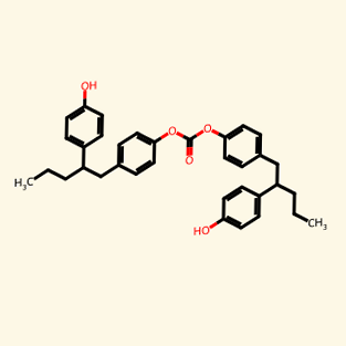 CCCC(Cc1ccc(OC(=O)Oc2ccc(CC(CCC)c3ccc(O)cc3)cc2)cc1)c1ccc(O)cc1